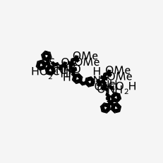 COC(CC(C)(C)C(NC(=O)[C@H](CCSC(c1ccccc1)(c1ccccc1)c1ccccc1)NC(=O)O)C(=O)Nc1ccc(Cc2ccc(NC(=O)C(NC(=O)[C@H](CCSC(c3ccccc3)(c3ccccc3)c3ccccc3)NC(=O)O)C(C)(C)CC(OC)OC)cc2)cc1)OC